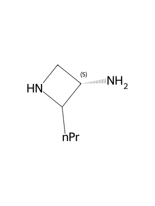 CCCC1NC[C@@H]1N